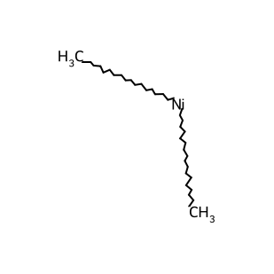 CCCCCCCCCCCCCCCCCC[CH2][Ni][CH2]CCCCCCCCCCCCCCCCCC